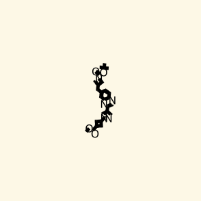 COC(=O)C1CC(n2cc(-c3cnc4ccc(CC5CN(C(=O)OC(C)(C)C)C5)cc4n3)cn2)C1